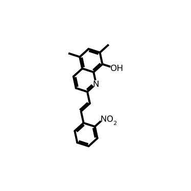 Cc1cc(C)c2ccc(/C=C/c3ccccc3[N+](=O)[O-])nc2c1O